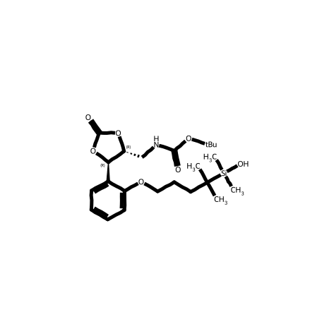 CC(C)(C)OC(=O)NC[C@H]1OC(=O)O[C@@H]1c1ccccc1OCCCC(C)(C)[Si](C)(C)O